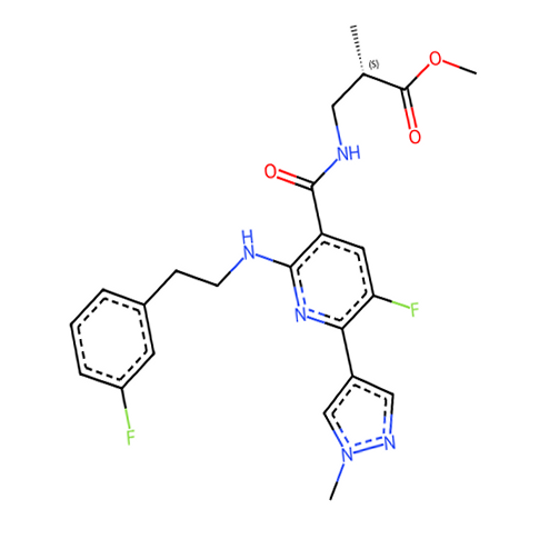 COC(=O)[C@@H](C)CNC(=O)c1cc(F)c(-c2cnn(C)c2)nc1NCCc1cccc(F)c1